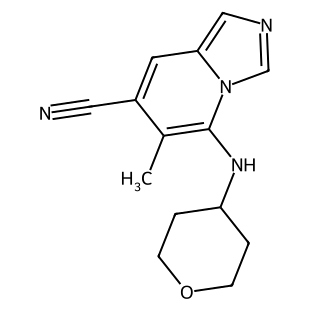 Cc1c(C#N)cc2cncn2c1NC1CCOCC1